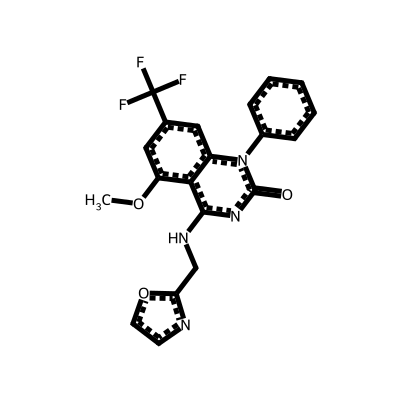 COc1cc(C(F)(F)F)cc2c1c(NCc1ncco1)nc(=O)n2-c1ccccc1